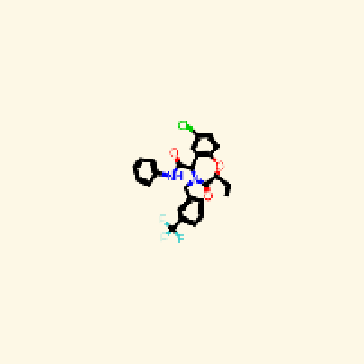 CCC1Oc2ccc(Cl)cc2C(C(=O)Nc2ccccc2)N(Cc2cccc(C(F)(F)F)c2)C1=O